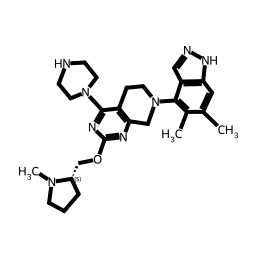 Cc1cc2[nH]ncc2c(N2CCc3c(nc(OC[C@@H]4CCCN4C)nc3N3CCNCC3)C2)c1C